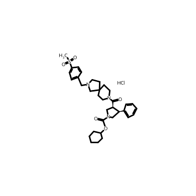 CS(=O)(=O)c1ccc(CN2CCC3(CCN(C(=O)[C@@H]4CN(C(=O)OC5CCCCC5)C[C@@H]4c4ccccc4)CC3)C2)cc1.Cl